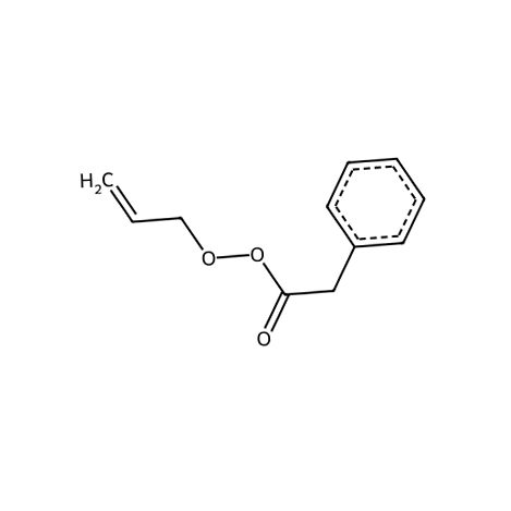 C=CCOOC(=O)Cc1ccccc1